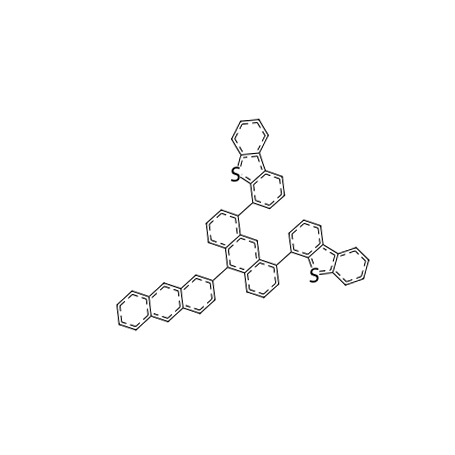 c1ccc2cc3cc(-c4c5cccc(-c6cccc7c6sc6ccccc67)c5cc5c(-c6cccc7c6sc6ccccc67)cccc45)ccc3cc2c1